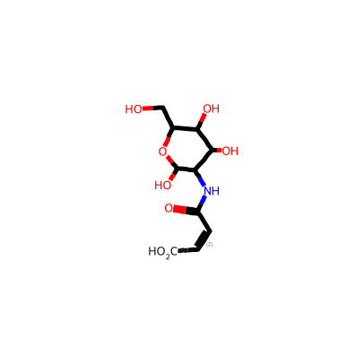 O=C(O)/C=C\C(=O)NC1C(O)OC(CO)C(O)C1O